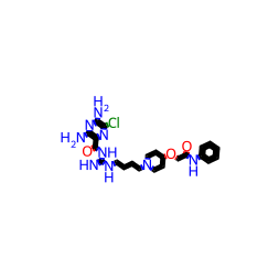 N=C(NCCCCN1CCC(OCC(=O)Nc2ccccc2)CC1)NC(=O)c1nc(Cl)c(N)nc1N